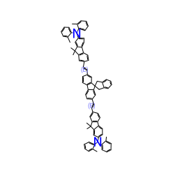 Cc1ccccc1N(c1ccc2c(c1)C(C)(C)c1cc(/C=C/c3ccc4c(c3)C3(Cc5ccccc5C3)c3cc(/C=C/c5ccc6c(c5)C(C)(C)c5cc(N(c7ccccc7C)c7ccccc7C)ccc5-6)ccc3-4)ccc1-2)c1ccccc1C